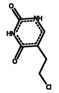 O=c1[nH]cc(CCCl)c(=O)[nH]1